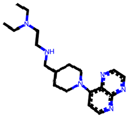 CCN(CC)CCNCC1CCN(c2ccnc3nccnc23)CC1